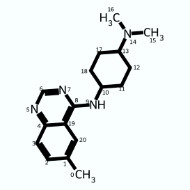 Cc1ccc2ncnc(NC3CCC(N(C)C)CC3)c2c1